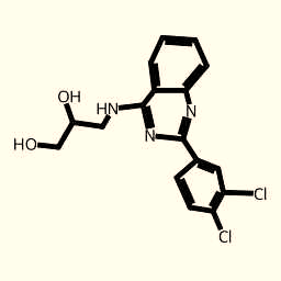 OCC(O)CNc1nc(-c2ccc(Cl)c(Cl)c2)nc2ccccc12